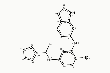 CCC(Nc1ccc([N+](=O)[O-])c(Nc2ccc3cn[nH]c3c2)n1)n1ccnc1